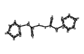 O=C(CCC(=O)Oc1ncncn1)Oc1ncncn1